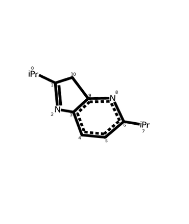 CC(C)C1=Nc2ccc(C(C)C)nc2C1